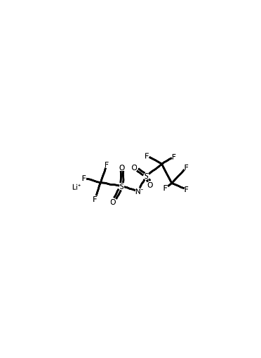 O=S(=O)([N-]S(=O)(=O)C(F)(F)C(F)(F)F)C(F)(F)F.[Li+]